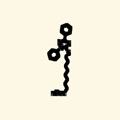 CCCCCCCCCCCCCCCCCCSc1nc(-c2ccccc2)nn1-c1ccccc1